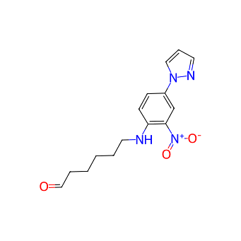 O=CCCCCCNc1ccc(-n2cccn2)cc1[N+](=O)[O-]